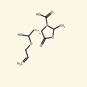 C=CCOC(O)C[C@H]1C(=O)OC(C)N1C(=O)O